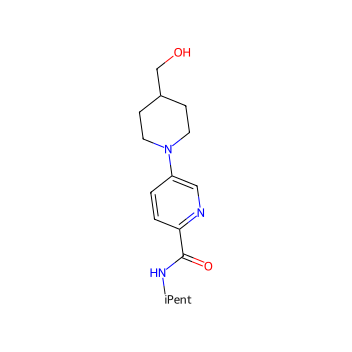 CCCC(C)NC(=O)c1ccc(N2CCC(CO)CC2)cn1